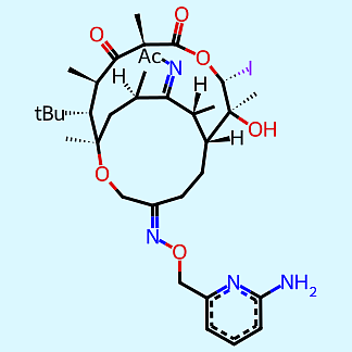 CC(=O)/N=C1\[C@H](C)C[C@@]2(C)OC/C(=N/OCc3cccc(N)n3)CC[C@H]([C@H]1C)[C@](C)(O)[C@@H](I)OC(=O)[C@H](C)C(=O)[C@H](C)[C@H]2C(C)(C)C